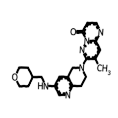 Cc1cc2nccc(=O)n2nc1N1CCc2ncc(NCC3CCOCC3)cc2C1